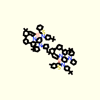 Cc1ccc2sc3c(c2c1)B1c2cc4c5cc2N(c2ccc(C(C)(C)C)cc2-c2cccc(c2)C5(C)CCC4(C)Cc2cccc(N(c4ccccc4)c4cc5c6c(c4)N(c4ccc(C(C)(C)C)cc4)c4sc7ccccc7c4B6c4cc6c7cc4N5c4ccc(C(C)(C)C)cc4-c4cccc(c4)C7(C)CCC6(C)C)c2)c2cc(N(c4ccccc4)c4ccccc4)cc(c21)N3c1ccc(C(C)(C)C)cc1